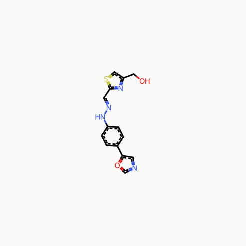 OCc1csc(C=NNc2ccc(-c3cnco3)cc2)n1